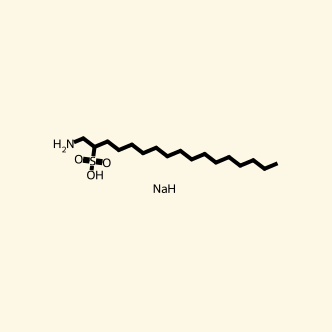 CCCCCCCCCCCCCCCC(CN)S(=O)(=O)O.[NaH]